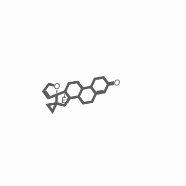 CC[C@]12CCC3C4CCC(=O)C=C4CCC3C1CC1(CC1)[C@@]21C=CCO1